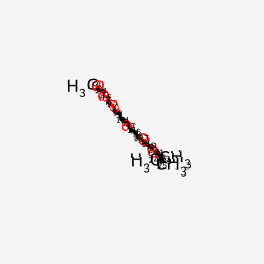 COCCOCCOCCCCOCCCCOCCOCC(C)(C)C